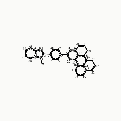 Cc1c(-c2ccc(-c3cc4c5c(c6c7c(cccc7c5c3)C=CC6)CC=C4)cc2)nc2ccccn12